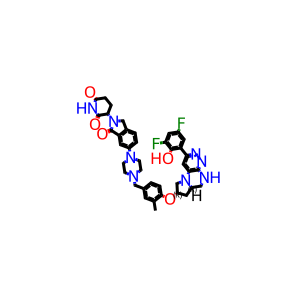 Cc1cc(CN2CCN(c3ccc4c(c3)C(=O)N(C3CCC(=O)NC3=O)C4)CC2)ccc1O[C@@H]1C[C@@H]2CNc3nnc(-c4cc(F)cc(F)c4O)cc3N2C1